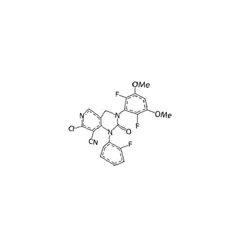 COc1cc(OC)c(F)c(N2Cc3cnc(Cl)c(C#N)c3N(c3ccccc3F)C2=O)c1F